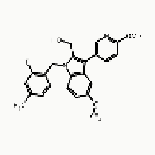 COc1ccc(-c2c(CO)n(Cc3ccc(C)cc3F)c3ccc(OC(F)(F)F)cc23)cn1